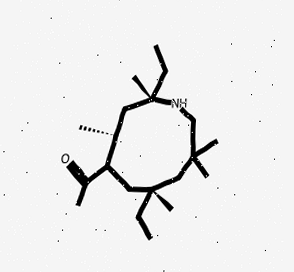 CC[C@]1(C)CC(C(C)=O)[C@H](C)C[C@](C)(CC)NCC(C)(C)C1